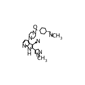 CN=C[C@H]1CC[C@H](C(=O)N2CCN(c3ccnc4[nH]c(-c5cnn(C)c5)c(C#N)c34)CC2)CC1